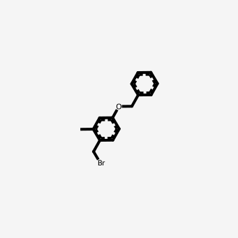 Cc1cc(OCc2ccccc2)ccc1CBr